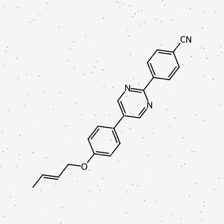 CC=CCOc1ccc(-c2cnc(-c3ccc(C#N)cc3)nc2)cc1